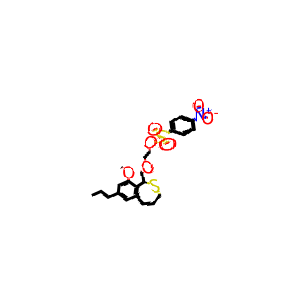 CCCc1cc2c(c(OC)c1)C(COCCOS(=O)(=O)c1ccc([N+](=O)[O-])cc1)SCCC2